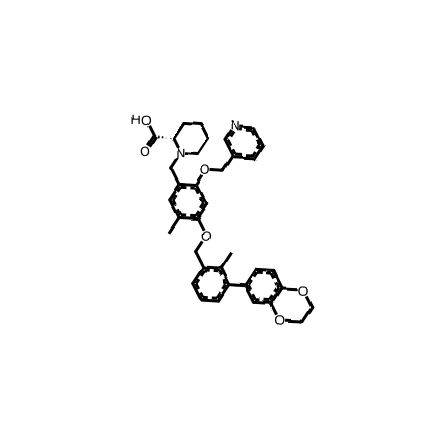 Cc1cc(CN2CCCC[C@H]2C(=O)O)c(OCc2cccnc2)cc1OCc1cccc(-c2ccc3c(c2)OCCO3)c1C